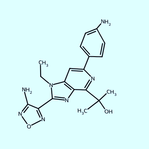 CCn1c(-c2nonc2N)nc2c(C(C)(C)O)nc(-c3ccc(N)cc3)cc21